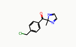 CC1(C(=O)c2ccc(CCl)cc2)N=CC=N1